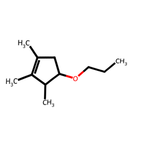 CCCOC1CC(C)=C(C)C1C